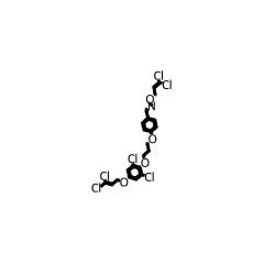 ClC(Cl)=CCON=Cc1ccc(OCCCOc2c(Cl)cc(OCC=C(Cl)Cl)cc2Cl)cc1